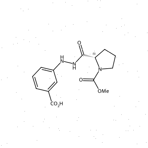 COC(=O)N1CCC[C@H]1C(=O)NNc1cccc(C(=O)O)c1